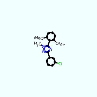 COc1cccc(OC)c1-c1nc(-c2cccc(Cl)c2)nn1C